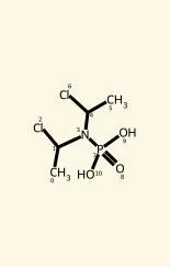 CC(Cl)N(C(C)Cl)P(=O)(O)O